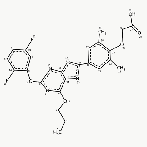 CCCOc1nc(Oc2cc(F)ccc2F)nc2oc(-c3cc(C)c(OCC(=O)O)c(C)c3)nc12